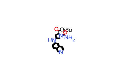 CC(C)COC(=O)[C@@H]1C[C@H](Nc2ccc3cnccc3c2)CN1C(N)=O